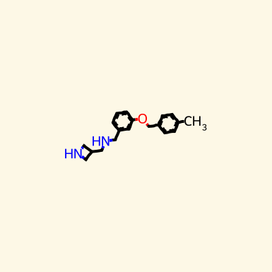 Cc1ccc(COc2cccc(CNCC3CNC3)c2)cc1